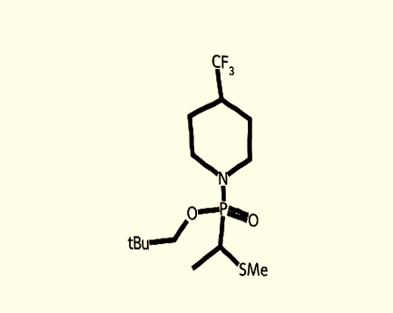 CSC(C)P(=O)(OCC(C)(C)C)N1CCC(C(F)(F)F)CC1